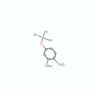 COc1cc(O[Si](C(C)C)(C(C)C)C(C)C)ccc1C=O